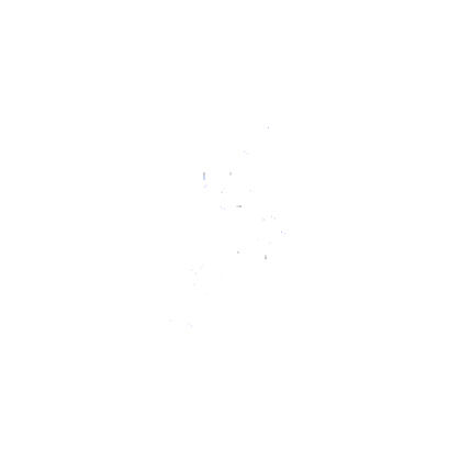 CN(C)Cc1cncc(-c2ccc3[nH]nc(-c4nc5c(N6CCN(C)CC6)ccnc5[nH]4)c3c2)c1